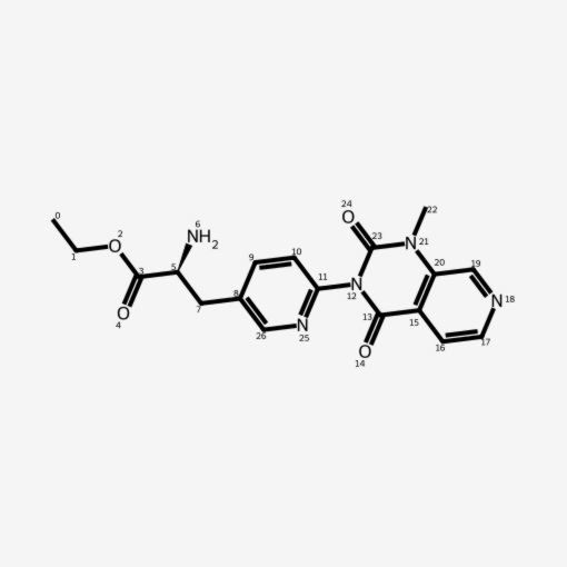 CCOC(=O)[C@@H](N)Cc1ccc(-n2c(=O)c3ccncc3n(C)c2=O)nc1